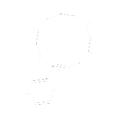 C1=C(/c2ccccc2)CCCCCCCCCC/1